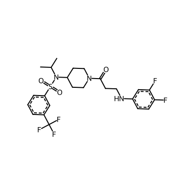 CC(C)N(C1CCN(C(=O)CCNc2ccc(F)c(F)c2)CC1)S(=O)(=O)c1cccc(C(F)(F)F)c1